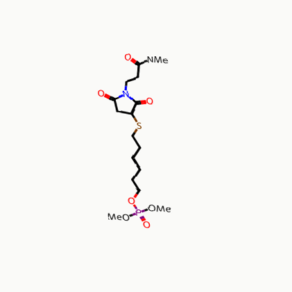 CNC(=O)CCN1C(=O)CC(SCCCCCCOP(=O)(OC)OC)C1=O